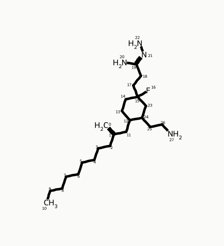 C=C(CCCCCCCCC)CC1CCC(F)(CC/C(N)=N/N)CC1CCN